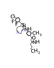 C=CCCC(=N)CC(=O)c1ccc(N/C2=C\C/C=C\CCC3C(c4ccc(Cl)c(F)c4F)=CN=C23)cc1C